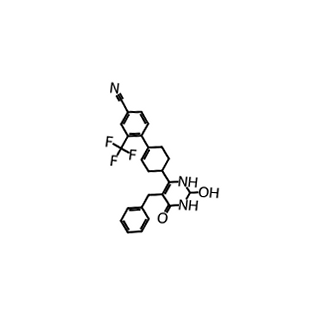 N#Cc1ccc(C2=CCC(C3=C(Cc4ccccc4)C(=O)NC(O)N3)CC2)c(C(F)(F)F)c1